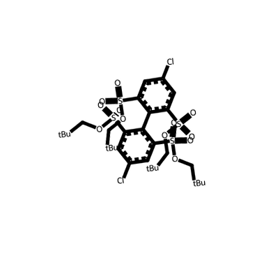 CC(C)(C)COS(=O)(=O)c1cc(Cl)cc(S(=O)(=O)OCC(C)(C)C)c1-c1c(S(=O)(=O)OCC(C)(C)C)cc(Cl)cc1S(=O)(=O)OCC(C)(C)C